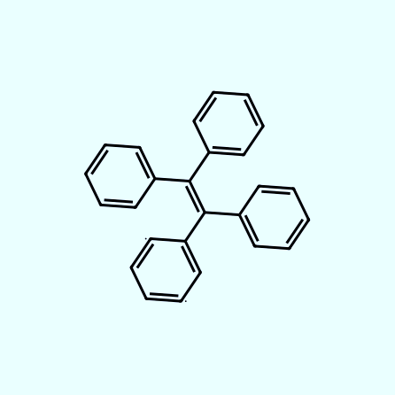 [c]1cc[c]c(C(=C(c2ccccc2)c2ccccc2)c2ccccc2)c1